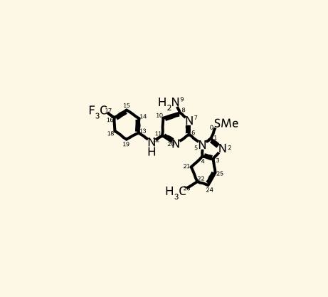 CSc1nc2c(n1-c1nc(N)cc(NC3=CC=C(C(F)(F)F)CC3)n1)CC(C)C=C2